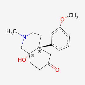 COc1cccc([C@]23CCN(C)C[C@]2(O)CCC(=O)C3)c1